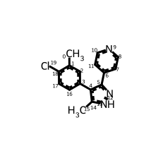 Cc1cc(-c2c(-c3ccncc3)n[nH]c2C)ccc1Cl